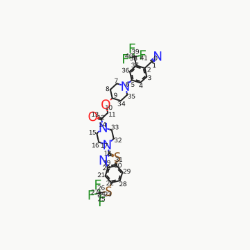 N#Cc1ccc(N2CCC(OCC(=O)N3CCN(c4nc5cc(SC(F)(F)F)ccc5s4)CC3)CC2)cc1C(F)(F)F